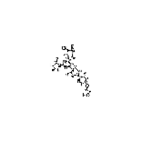 Cc1cc(OCCO)cnc1N1CCN(c2cc(-c3ccc(F)c(Cl)c3)nc(N3CCC[C@H]3C)n2)[C@H](C)C1